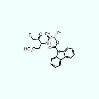 C=C(NC(CC(=O)O)C(=O)CF)[C@@H](OC(=O)n1c2ccccc2c2ccccc21)C(C)C